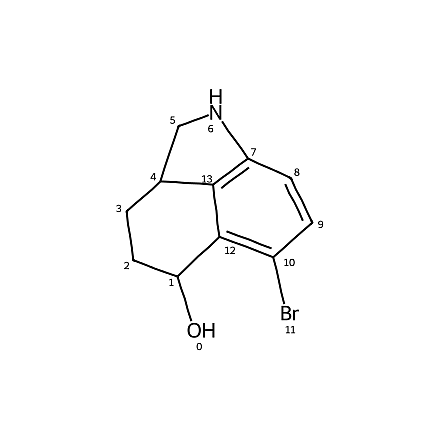 OC1CCC2CNc3ccc(Br)c1c32